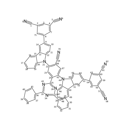 N#Cc1cc(C#N)cc(-c2ccc3c(c2)c2ccccc2n3-c2cc(-c3nc(-c4ccccc4)nc(-c4ccccc4)n3)c(-n3c4ccccc4c4cc(-c5cc(C#N)cc(C#N)c5)ccc43)cc2C#N)c1